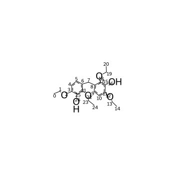 CCOc1ccc(Cc2ccc(OCC)c(O)c2OCC)c(OCC)c1O